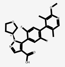 COc1ncc(C)c(-c2cc(F)c(-c3c(C(=O)O)cnn3[C@H]3CCOC3)cc2F)c1C